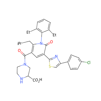 CCc1cccc(CC)c1-n1c(CC(C)C)c(C(=O)N2CCNC(C(=O)O)C2)cc(-c2nc(-c3ccc(Cl)cc3)cs2)c1=O